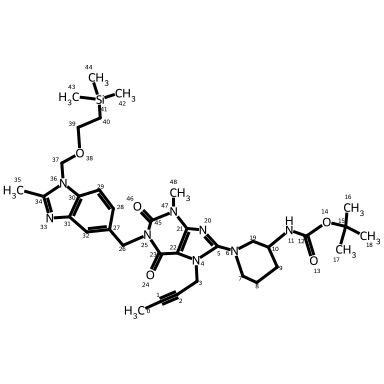 CC#CCn1c(N2CCCC(NC(=O)OC(C)(C)C)C2)nc2c1c(=O)n(Cc1ccc3c(c1)nc(C)n3COCC[Si](C)(C)C)c(=O)n2C